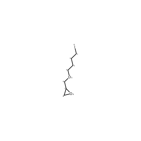 ICCCCOCC1CO1